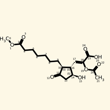 COC(=O)CCCCCC[C@@H]1C(=O)C[C@H](O)[C@H]1C=C(OC(C)=O)C(=O)O